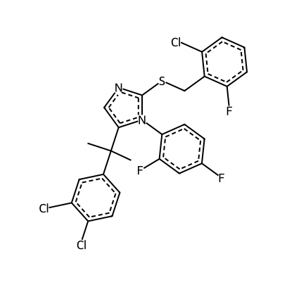 CC(C)(c1ccc(Cl)c(Cl)c1)c1cnc(SCc2c(F)cccc2Cl)n1-c1ccc(F)cc1F